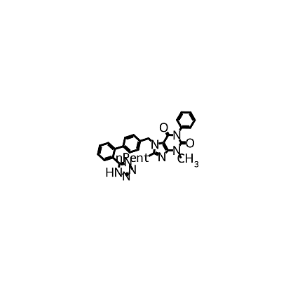 CCCCCc1nc2c(c(=O)n(-c3ccccc3)c(=O)n2C)n1Cc1ccc(-c2ccccc2-c2nnn[nH]2)cc1